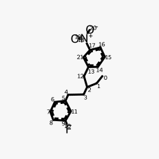 CCC(CCc1cccc(F)c1)Cc1cccc([N+](=O)[O-])c1